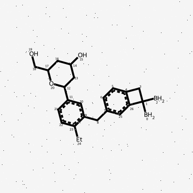 BC1(B)Cc2ccc(Cc3cc(C4CC(O)CC(CO)O4)ccc3CC)cc21